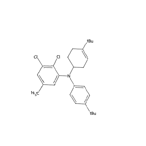 Cc1cc(Cl)c(Cl)c(N(c2ccc(C(C)(C)C)cc2)C2CC=C(C(C)(C)C)CC2)c1